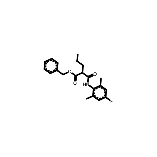 CCCC(C(=O)Nc1c(C)cc(F)cc1C)C(=O)OCc1ccccc1